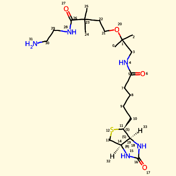 CC(C)(CNC(=O)CCCC[C@@H]1SC[C@@H]2NC(=O)N[C@@H]21)OCCC(C)(C)C(=O)NCCN